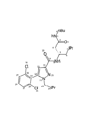 CCCCNC(=O)C[C@H](CC(C)C)NC(=O)c1cc(-c2c(Cl)cccc2Cl)n(CC(C)C)n1